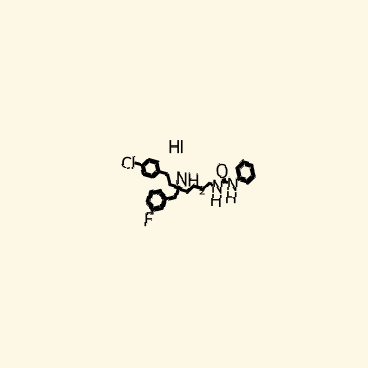 I.NC(CCCCNC(=O)Nc1ccccc1)(CCc1ccc(Cl)cc1)Cc1cccc(F)c1